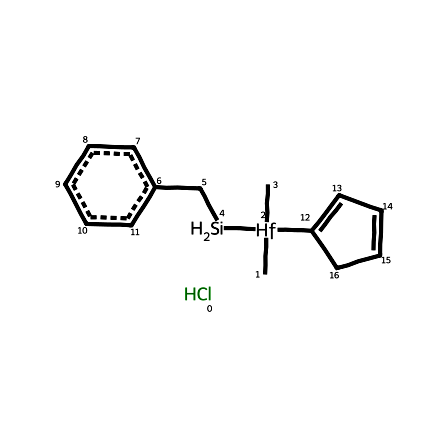 Cl.[CH3][Hf]([CH3])([SiH2]Cc1ccccc1)[C]1=CC=CC1